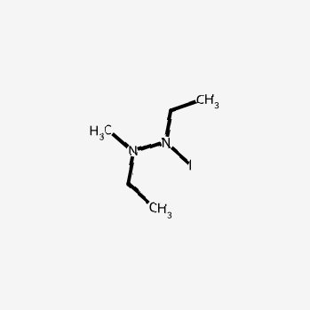 CCN(C)N(I)CC